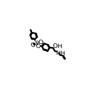 C=CCNC[C@H](O)c1ccc(OS(=O)(=O)c2ccc(C)cc2)cc1